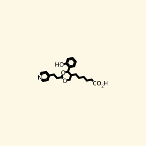 O=C(O)CCCCCC1COC(CCc2ccncc2)OC1c1ccccc1O